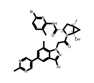 CC(=O)c1nn(CC(=O)N2[C@H](C(=O)Nc3nc(Br)ccc3C)C[C@@]3(C)C[C@@]23O)c2c(C)cc(-c3cnc(C)nc3)cc12